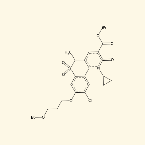 CCOCCCOc1cc2c(cc1Cl)-c1c(cc(C(=O)OC(C)C)c(=O)n1C1CC1)C(C)S2(=O)=O